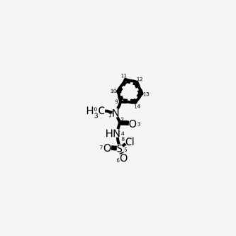 CN(C(=O)NS(=O)(=O)Cl)c1ccccc1